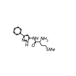 CSCCC(N)C(=O)Nc1cc(-c2ccccc2)n[nH]1